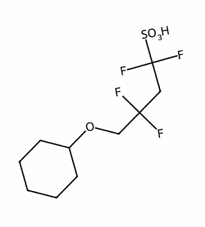 O=S(=O)(O)C(F)(F)CC(F)(F)COC1CCCCC1